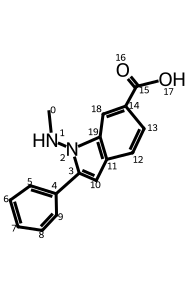 CNn1c(-c2ccccc2)cc2ccc(C(=O)O)cc21